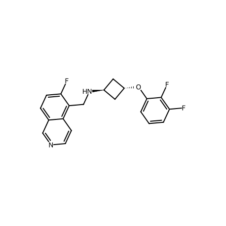 Fc1cccc(O[C@H]2C[C@H](NCc3c(F)ccc4cnccc34)C2)c1F